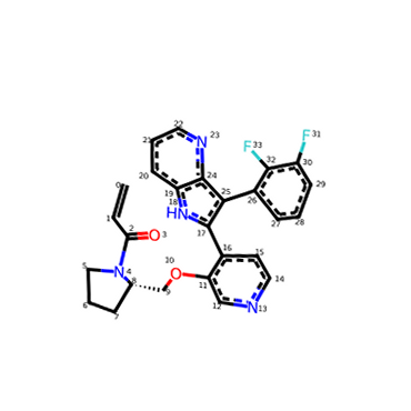 C=CC(=O)N1CCC[C@H]1COc1cnccc1-c1[nH]c2cccnc2c1-c1cccc(F)c1F